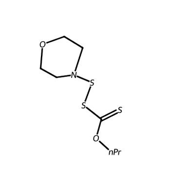 CCCOC(=S)SSN1CCOCC1